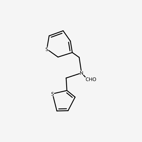 O=CN(CC1=CC=CSC1)Cc1cccs1